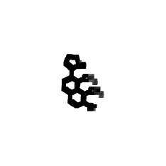 Cc1c(Br)ccc2ccc(-c3ccc[se]3)c(C)c12